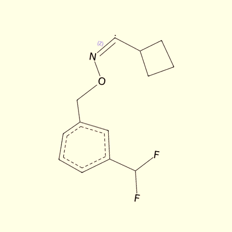 FC(F)c1cccc(CO/N=[C]\C2CCC2)c1